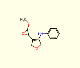 COC1OC1C1=C(Nc2ccccc2)COC1